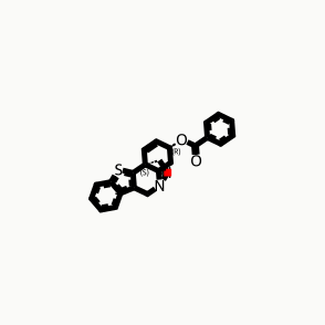 O=C(O[C@H]1C=C[C@]23CCN(Cc4c2sc2ccccc42)[C@H]3C1)c1ccccc1